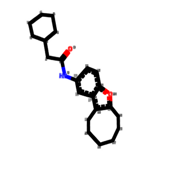 O=C(CC1CCCCC1)Nc1ccc2oc3c(c2c1)CCCCCC3